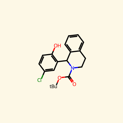 CC(C)(C)OC(=O)N1CCc2ccccc2C1c1cc(Cl)ccc1O